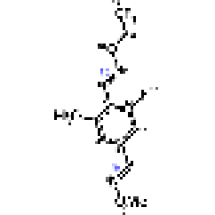 CO/N=C/c1cc(C)c(/C=N/OCC(F)(F)F)c(F)c1